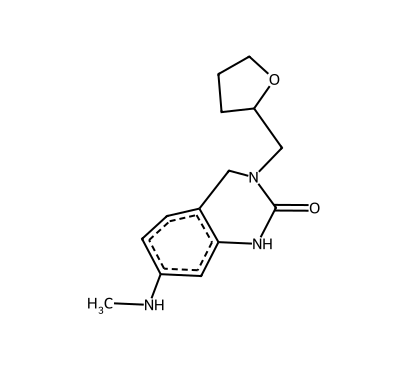 CNc1ccc2c(c1)NC(=O)N(CC1CCCO1)C2